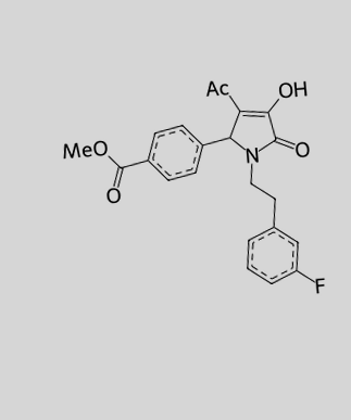 COC(=O)c1ccc(C2C(C(C)=O)=C(O)C(=O)N2CCc2cccc(F)c2)cc1